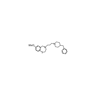 COc1ccc2c(c1)CN(CCCN1CCC(Cc3ccccc3)CC1)CCS2